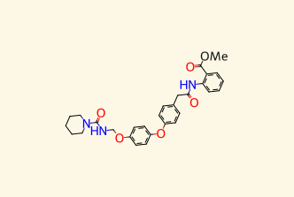 COC(=O)c1ccccc1NC(=O)Cc1ccc(Oc2ccc(OCNC(=O)N3CCCCC3)cc2)cc1